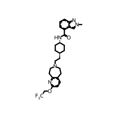 Cn1cc2c(C(=O)N[C@H]3CC[C@H](CCN4CCc5ccc(OCC(F)(F)F)nc5CC4)CC3)cccc2n1